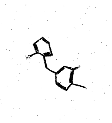 Fc1ccc(Cc2ccccc2S)cc1F